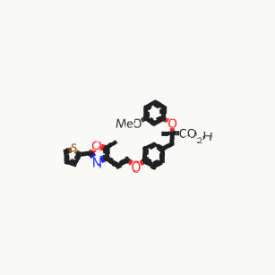 COc1cccc(OC(C)(Cc2ccc(OCCc3nc(-c4cccs4)oc3C)cc2)C(=O)O)c1